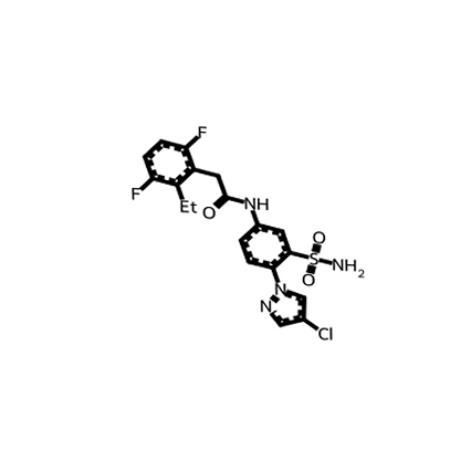 CCc1c(F)ccc(F)c1CC(=O)Nc1ccc(-n2cc(Cl)cn2)c(S(N)(=O)=O)c1